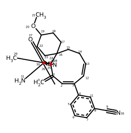 C=C1/C=C(c2cccc(C#N)c2)\C=C/CCC2(CCC(OC)CC2)C12CC(=O)N(C)C(N)=N2